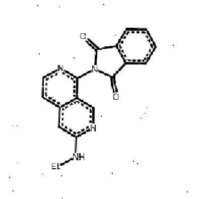 CCNc1cc2ccnc(N3C(=O)c4ccccc4C3=O)c2cn1